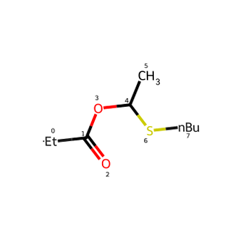 C[CH]C(=O)OC(C)SCCCC